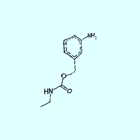 CCNC(=O)OCc1cccc(N)c1